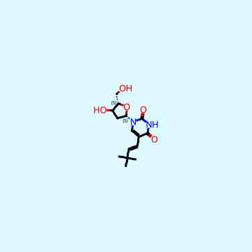 CC(C)(C)C=Cc1cn([C@@H]2CC(O)[C@H](CO)O2)c(=O)[nH]c1=O